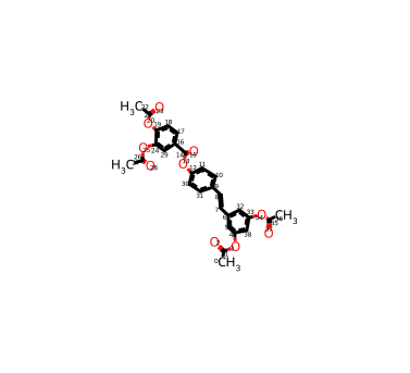 CC(=O)Oc1cc(C=Cc2ccc(OC(=O)c3ccc(OC(C)=O)c(OC(C)=O)c3)cc2)cc(OC(C)=O)c1